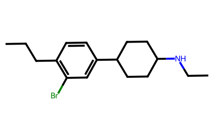 CCCc1ccc(C2CCC(NCC)CC2)cc1Br